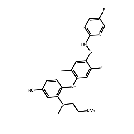 CNCCN(C)c1cc(C#N)ccc1Nc1cc(F)c(SNc2ncc(F)cn2)cc1C